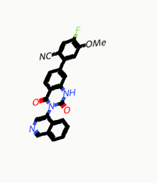 COc1cc(-c2ccc3c(=O)n(-c4cncc5ccccc45)c(=O)[nH]c3c2)c(C#N)cc1F